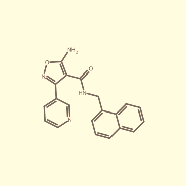 Nc1onc(-c2cccnc2)c1C(=O)NCc1cccc2ccccc12